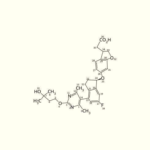 Cc1nc(OCCC(C)(C)O)nc(C)c1-c1cc(F)cc2c1CC[C@H]2Oc1ccc2c(c1)OCC2CC(=O)O